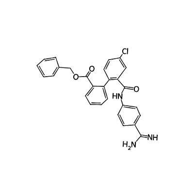 N=C(N)c1ccc(NC(=O)c2cc(Cl)ccc2-c2ccccc2C(=O)OCc2ccccc2)cc1